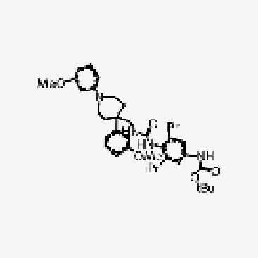 COc1cccc(N2CCC(CNC(=O)Nc3c(C(C)C)cc(NC(=O)OC(C)(C)C)cc3C(C)C)(c3cccc(OC)c3)CC2)c1